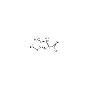 Cn1c(CBr)nc([N+](=O)[O-])c1Br